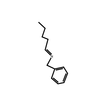 CCCCC=NCc1ccccc1